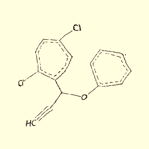 C#CC(Oc1cc[c]cc1)c1cc(Cl)ccc1Cl